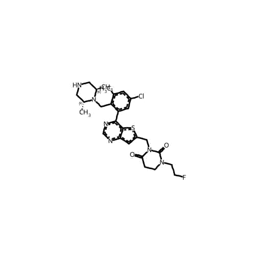 Cc1cc(Cl)cc(-c2ncnc3cc(CN4C(=O)CCN(CCF)C4=O)sc23)c1CN1[C@H](C)CNC[C@H]1C